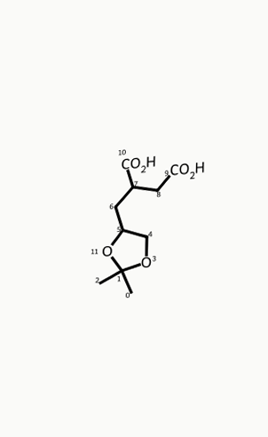 CC1(C)OCC(CC(CC(=O)O)C(=O)O)O1